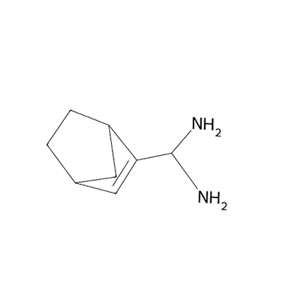 NC(N)C1=CC2CCC1C2